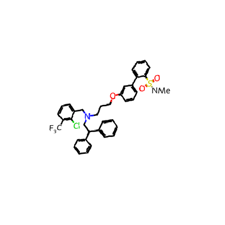 CNS(=O)(=O)c1ccccc1-c1cccc(OCCCN(Cc2cccc(C(F)(F)F)c2Cl)CC(c2ccccc2)c2ccccc2)c1